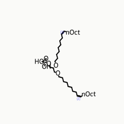 CCCCCCCC/C=C\CCCCCCCCOCC(COP(=O)(O)O)OCCCCCCCC/C=C\CCCCCCCC